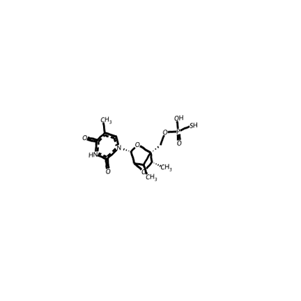 Cc1cn([C@@H]2O[C@]3(COP(=O)(O)S)C(C)C2O[C@H]3C)c(=O)[nH]c1=O